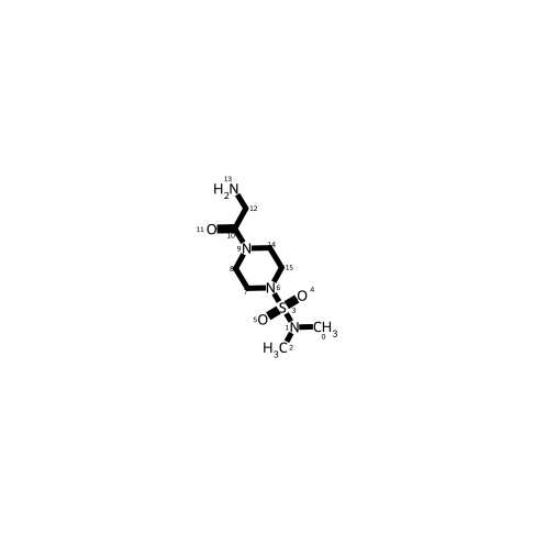 CN(C)S(=O)(=O)N1CCN(C(=O)CN)CC1